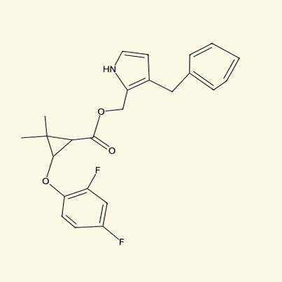 CC1(C)C(Oc2ccc(F)cc2F)C1C(=O)OCc1[nH]ccc1Cc1ccccc1